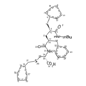 CCCCNC(=O)[C@H](Cc1ccccc1)C[C@@H](Cc1ccccc1)C(=O)N[C@@H](CSCc1ccccc1)C(=O)O